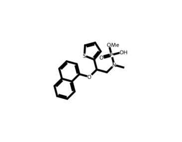 COP(=O)(O)N(C)CC(Oc1cccc2ccccc12)c1cccs1